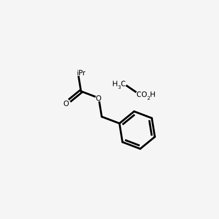 CC(=O)O.CC(C)C(=O)OCc1ccccc1